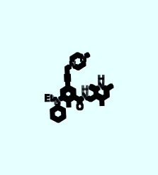 C=C1NC(C)=CC(C)=C1CNC(=O)c1cc(C#CCN2CCN(C)CC2)cc(N(CC)C2CCCCC2)c1C